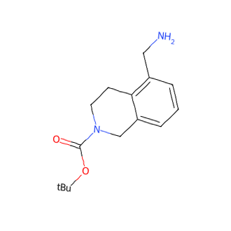 CC(C)(C)OC(=O)N1CCc2c(CN)cccc2C1